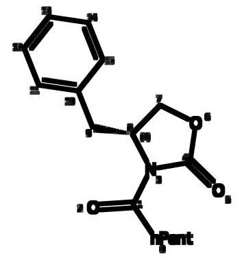 CCCCCC(=O)N1C(=O)OC[C@H]1Cc1ccccc1